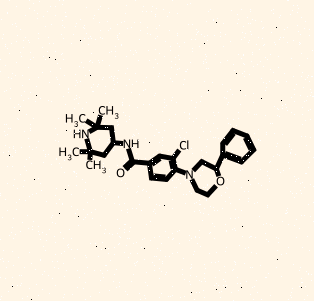 CC1(C)CC(NC(=O)c2ccc(N3CCOC(c4ccccc4)C3)c(Cl)c2)CC(C)(C)N1